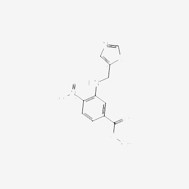 COC(=O)c1ccc([N+](=O)[O-])c(NCc2cncs2)c1